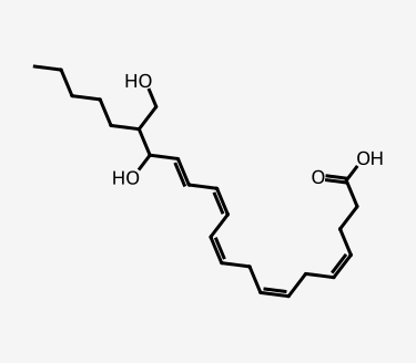 CCCCCC(CO)C(O)/C=C/C=C\C=C/C/C=C\C/C=C\CCC(=O)O